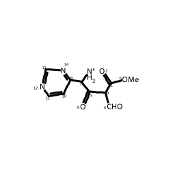 COC(=O)C(C=O)C(=O)C(N)c1ccncn1